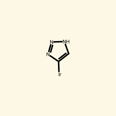 [Ir][c]1c[nH]nn1